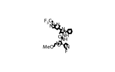 COCCN1C[C@@H](NC(=O)Nc2c(C)c(-c3cnc4c(cnn4CC(F)(F)F)c3)nn2-c2ccccc2)[C@H](c2ccnc(F)c2)O1